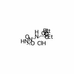 CCO[Si](CCCNCCN1C(=O)NC(C)(C)C1=O)(OCC)OCC.Cl